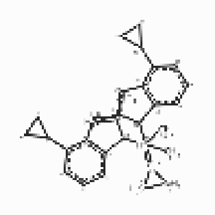 CC1=Cc2c(C3CC3)cccc2[CH]1[Hf]([CH3])([CH3])([CH]1C(C)=Cc2c(C3CC3)cccc21)=[Si]1[SiH2][SiH2]1